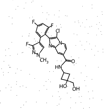 Cn1cc(-c2cc(F)cc(F)c2-c2nc3cc(C(=O)NC4CC(O)(CO)C4)ccn3c2Cl)c(F)n1